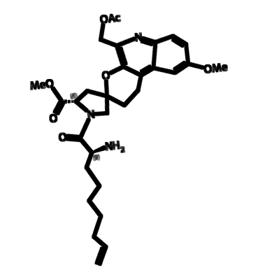 C=CCCCCC[C@H](N)C(=O)N1CC2(CCc3c(c(COC(C)=O)nc4ccc(OC)cc34)O2)C[C@H]1C(=O)OC